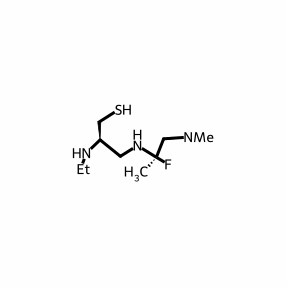 CCN[C@@H](CS)CN[C@](C)(F)CNC